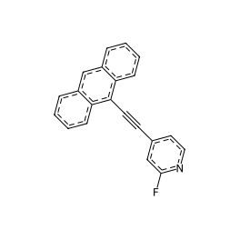 Fc1cc(C#Cc2c3ccccc3cc3ccccc23)ccn1